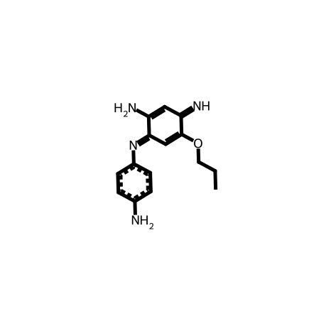 CCCOC1=C/C(=N\c2ccc(N)cc2)C(N)=CC1=N